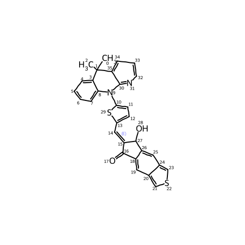 CC1(C)c2ccccc2N(c2ccc(/C=C3/C(=O)c4cc5cscc5cc4C3O)s2)c2ncccc21